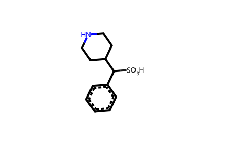 O=S(=O)(O)C(c1ccccc1)C1CCNCC1